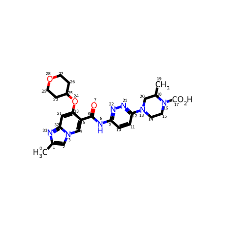 Cc1cn2cc(C(=O)Nc3ccc(N4CCN(C(=O)O)C(C)C4)nn3)c(OC3CCOCC3)cc2n1